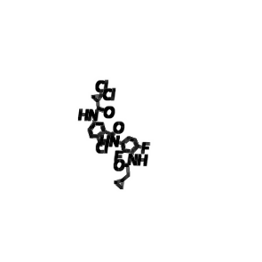 O=C(CC1CC1)Nc1c(F)ccc(NC(=O)c2cc(NC(=O)C3CC3(Cl)Cl)ccc2Cl)c1F